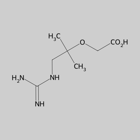 CC(C)(CNC(=N)N)OCC(=O)O